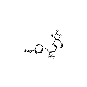 COc1ccc(SC(=Cc2ccc3oc(=O)[nH]c3c2)[N+](=O)[O-])cc1